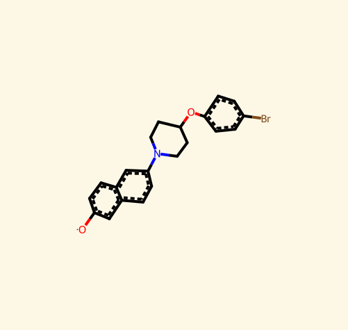 [O]c1ccc2cc(N3CCC(Oc4ccc(Br)cc4)CC3)ccc2c1